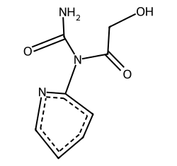 NC(=O)N(C(=O)CO)c1ccccn1